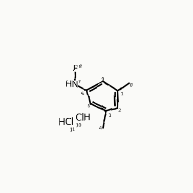 Cc1cc(C)cc(NF)c1.Cl.Cl